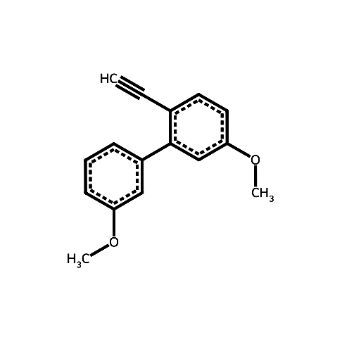 C#Cc1ccc(OC)cc1-c1cccc(OC)c1